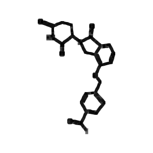 O=C1CCC(N2Cc3c(OCc4ccc(C(=O)I)cc4)cccc3C2=O)C(=O)N1